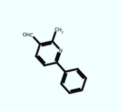 Cc1nc(-c2ccccc2)ccc1C=O